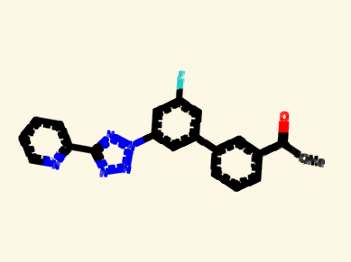 COC(=O)c1cccc(-c2cc(F)cc(-n3nnc(-c4ccccn4)n3)c2)c1